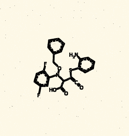 Nc1ccccc1SC(=C=O)C(C(=O)O)N(OCc1ccccc1)c1cc(F)ccc1F